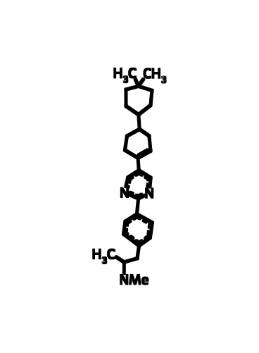 CNC(C)Cc1ccc(-c2ncc(C3=CCC(C4CCC(C)(C)CC4)CC3)cn2)cc1